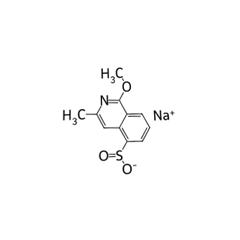 COc1nc(C)cc2c(S(=O)[O-])cccc12.[Na+]